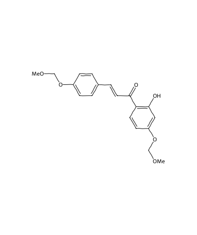 COCOc1ccc(C=CC(=O)c2ccc(OCOC)cc2O)cc1